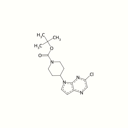 CC(C)(C)OC(=O)N1CCC(n2ccc3ncc(Cl)nc32)CC1